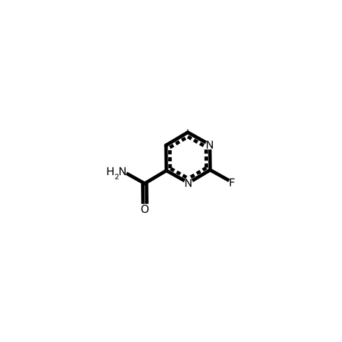 NC(=O)c1c[c]nc(F)n1